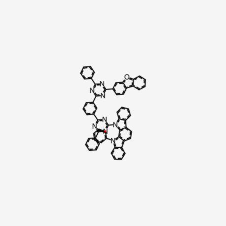 c1ccc(-c2nc(-c3cccc(-c4nc(-c5ccccc5)nc(-n5c6ccccc6c6ccc7c8ccccc8n(-c8ccccc8)c7c65)n4)c3)nc(-c3ccc4c(c3)oc3ccccc34)n2)cc1